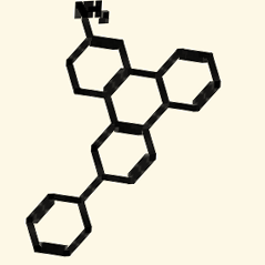 NC1=CC2=C(CC1)C1=C(C=CC(C3C=CC=CC3)C1)C1C=CC=CC21